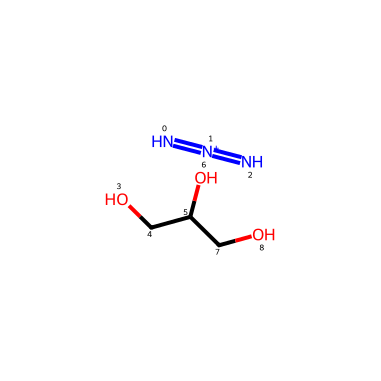 N=[N+]=N.OCC(O)CO